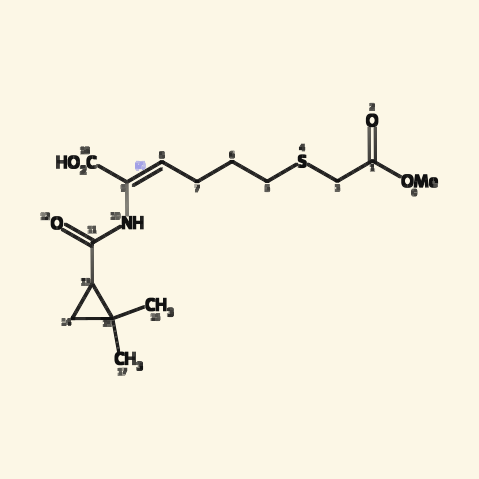 COC(=O)CSCCC/C=C(\NC(=O)C1CC1(C)C)C(=O)O